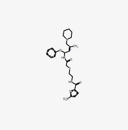 C/C(=C/C(NC(=O)CSCCNC(=O)c1ccc([N+](=O)[O-])o1)Oc1ccccc1)CN1CCCCC1